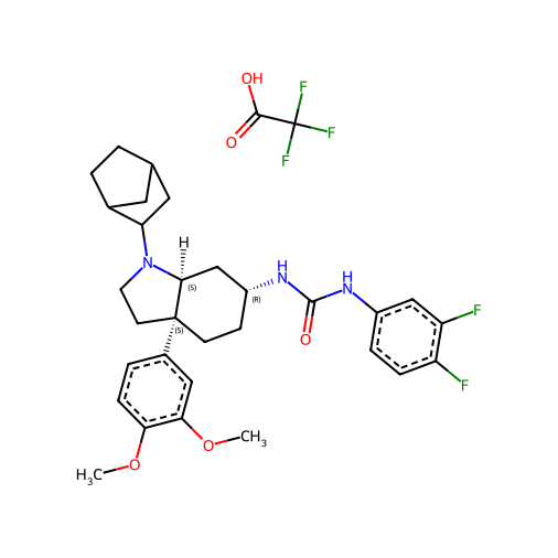 COc1ccc([C@@]23CC[C@@H](NC(=O)Nc4ccc(F)c(F)c4)C[C@@H]2N(C2CC4CCC2C4)CC3)cc1OC.O=C(O)C(F)(F)F